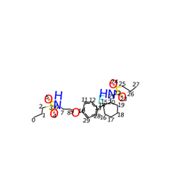 CCCS(=O)(=O)NCCOc1ccc(C2(F)CCCCC2NS(=O)(=O)CCC)cc1